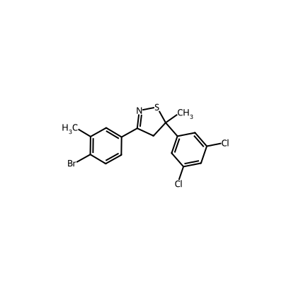 Cc1cc(C2=NSC(C)(c3cc(Cl)cc(Cl)c3)C2)ccc1Br